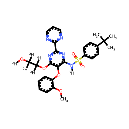 [2H]OC([2H])([2H])C([2H])([2H])Oc1nc(-c2ncccn2)nc(N([2H])S(=O)(=O)c2ccc(C(C)(C)C)cc2)c1Oc1ccccc1OC